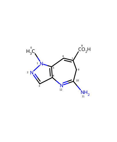 Cn1ncc2c1C=C(C(=O)O)CC(N)=N2